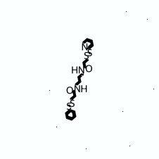 O=C(CCSSc1ccccc1)NCCCCNC(=O)CCSSc1ccccn1